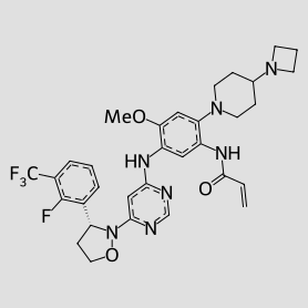 C=CC(=O)Nc1cc(Nc2cc(N3OCC[C@@H]3c3cccc(C(F)(F)F)c3F)ncn2)c(OC)cc1N1CCC(N2CCC2)CC1